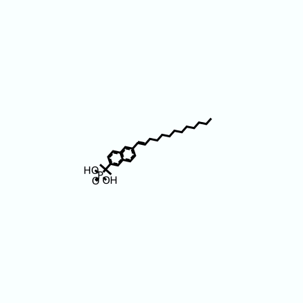 CCCCCCCCCCCC=Cc1ccc2cc(C(C)(C)P(=O)(O)O)ccc2c1